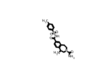 Cc1ccc(S(=O)(=O)NC(=O)c2ccc3c(c2)CCN(C(N)=O)CC3N)cc1